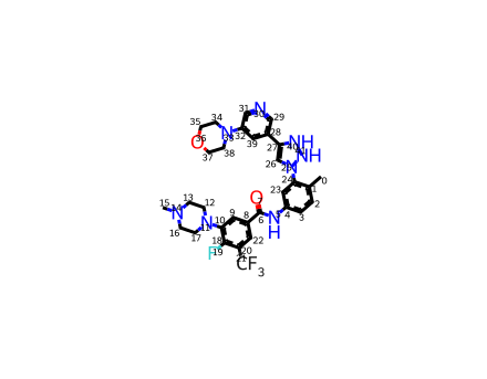 Cc1ccc(NC(=O)c2cc(N3CCN(C)CC3)c(F)c(C(F)(F)F)c2)cc1N1C=C(c2cncc(N3CCOCC3)c2)NN1